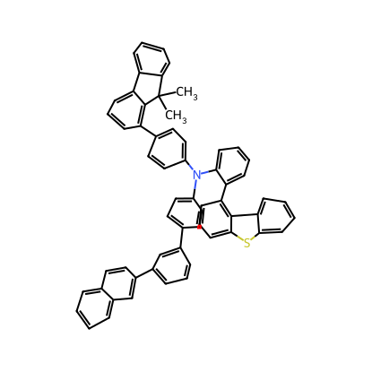 CC1(C)c2ccccc2-c2cccc(-c3ccc(N(c4ccc(-c5cccc(-c6ccc7ccccc7c6)c5)cc4)c4ccccc4-c4cccc5sc6ccccc6c45)cc3)c21